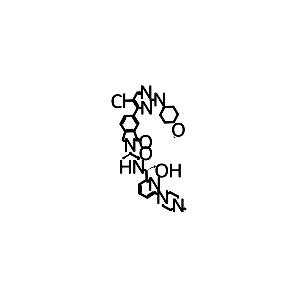 COC1CCC(=Nc2ncc(Cl)c(-c3ccc4c(c3)C(=O)N([C@H](C)C(=O)N[C@H](CO)c3cccc(N5CCN(C)CC5)n3)C4)n2)CC1